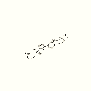 OC1(c2ncc(-c3cccc(Nc4nccc(C(F)(F)F)n4)c3)s2)CCCNCC1